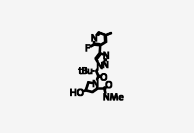 CNC(=O)C1CC(O)CN1C(=O)[C@@H](n1cc(-c2cc(C)cnc2F)nn1)C(C)(C)C